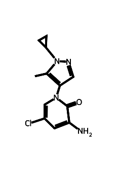 Cc1c(-n2cc(Cl)cc(N)c2=O)cnn1C1CC1